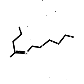 CCCCCC/N=C(/C)CCC